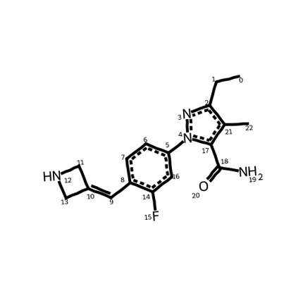 CCc1nn(-c2ccc(C=C3CNC3)c(F)c2)c(C(N)=O)c1C